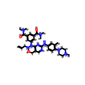 C=CCN1OCc2cnc(Nc3ccc(N4CCN(C)CC4)c(C)c3)nc2N1c1cc(C(=O)N(C)C)cc(C(=O)N(C)C)c1